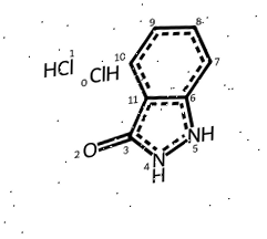 Cl.Cl.O=c1[nH][nH]c2ccccc12